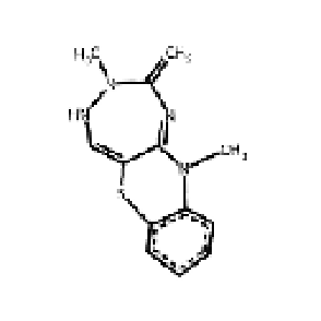 C=C1N=C2C(=CNN1C)Sc1ccccc1N2C